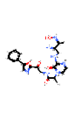 CCC(C(=O)NCC(=O)c1ncc(-c2ccccc2)o1)n1ccnc(NCC(=N)/C(C)=N\O)c1=O